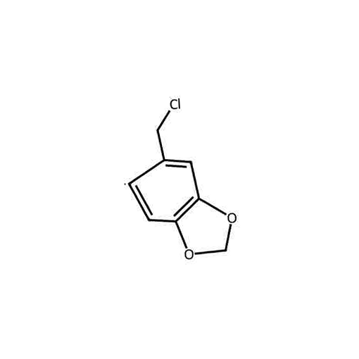 ClCc1[c]cc2c(c1)OCO2